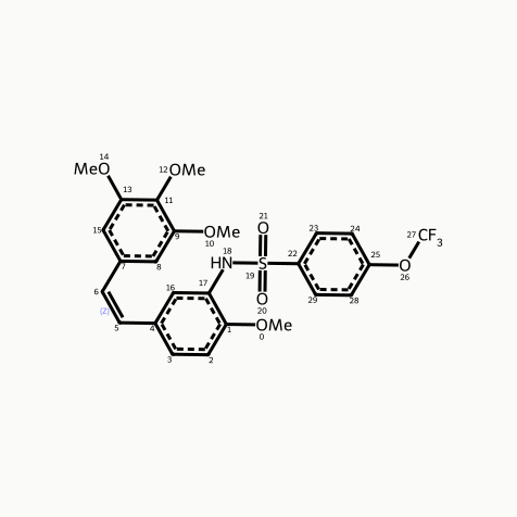 COc1ccc(/C=C\c2cc(OC)c(OC)c(OC)c2)cc1NS(=O)(=O)c1ccc(OC(F)(F)F)cc1